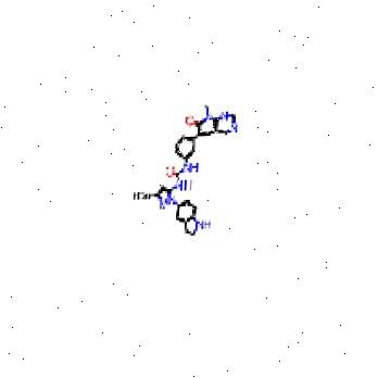 Cn1c(=O)c(-c2cccc(NC(=O)Nc3cc(C(C)(C)C)nn3-c3ccc4c(c3)CCN4)c2)cc2cncnc21